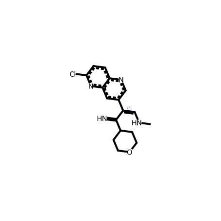 CN/C=C(\C(=N)C1CCOCC1)c1cnc2ccc(Cl)nc2c1